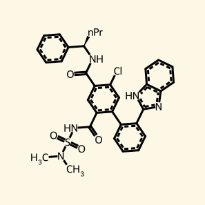 CCC[C@@H](NC(=O)c1cc(C(=O)NS(=O)(=O)N(C)C)c(-c2ccccc2-c2nc3ccccc3[nH]2)cc1Cl)c1ccccc1